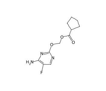 Nc1nc(OCOC(=O)C2CCCC2)ncc1F